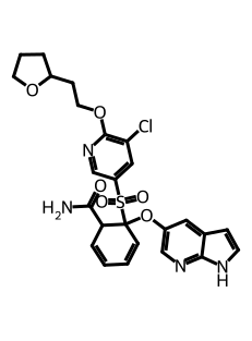 NC(=O)C1C=CC=CC1(Oc1cnc2[nH]ccc2c1)S(=O)(=O)c1cnc(OCCC2CCCO2)c(Cl)c1